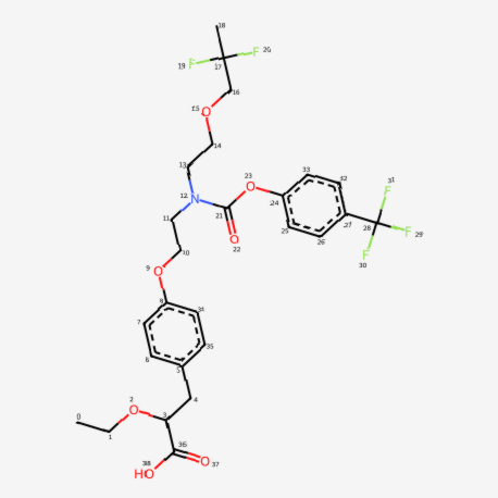 CCOC(Cc1ccc(OCCN(CCOCC(C)(F)F)C(=O)Oc2ccc(C(F)(F)F)cc2)cc1)C(=O)O